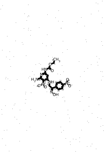 CCOC(=O)Nc1cc(NC/C(=N/O)c2ccc([N+](=O)[O-])cc2)c([N+](=O)[O-])c(N)n1